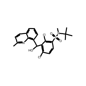 Cc1ccc2cccc(C(O)c3c(Cl)ccc(S(=O)(=O)N(C)C(C)(C)C)c3Cl)c2n1